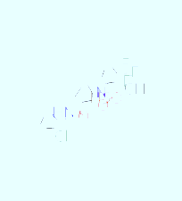 CCc1c(N(c2cccc(C(=O)NCc3ccccc3Cl)c2)[SH](=O)=O)cccc1C(F)(F)F